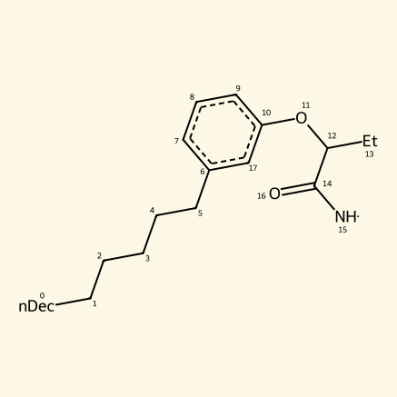 CCCCCCCCCCCCCCCc1cccc(OC(CC)C([NH])=O)c1